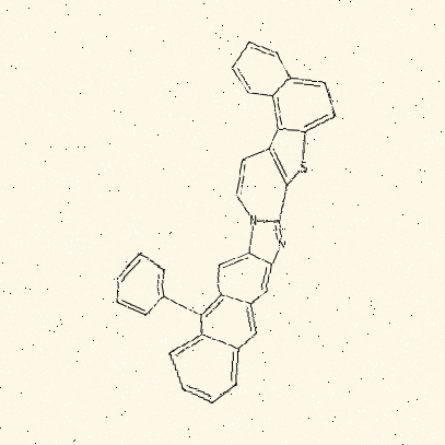 [c]1ccc(-c2c3ccccc3cc3cc4nc5c6sc7ccc8ccccc8c7c6ccn5c4cc23)cc1